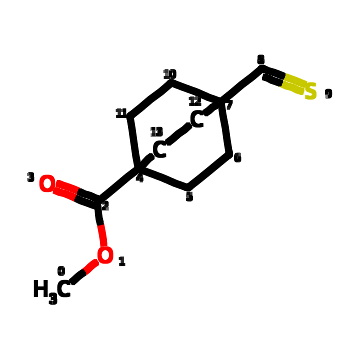 COC(=O)C12CCC(C=S)(CC1)CC2